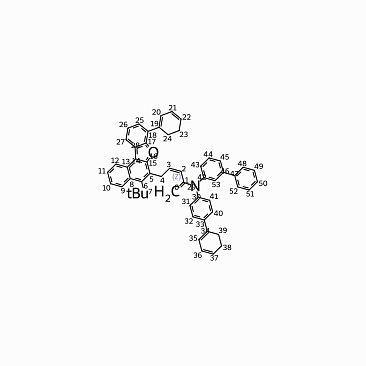 C=C(/C=C\Cc1c(C(C)(C)C)c2ccccc2c2c1oc1c(C3=CC=CCC3)cccc12)N(c1ccc(C2=CC=CCC2)cc1)c1cccc(-c2ccccc2)c1